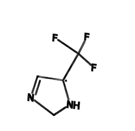 FC(F)(F)[C]1C=NCN1